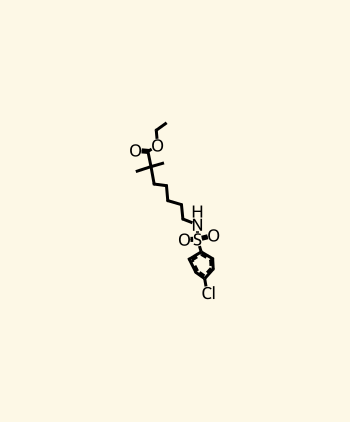 CCOC(=O)C(C)(C)CCCCCNS(=O)(=O)c1ccc(Cl)cc1